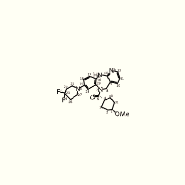 CO[C@H]1CC[C@H](C(=O)N2Cc3cccnc3Nc3ccc(N4CCC(F)(F)CC4)cc32)CC1